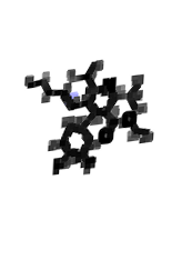 CCC/C=C/c1c(C(C)C)nc(C(C)C)c(C(=O)OCC)c1-c1ccc(F)c(F)c1